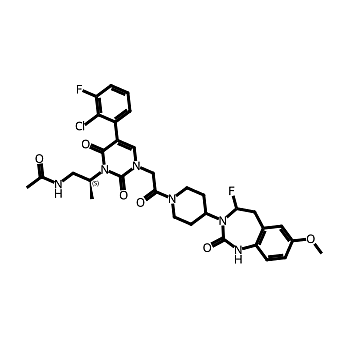 COc1ccc2c(c1)CC(F)N(C1CCN(C(=O)Cn3cc(-c4cccc(F)c4Cl)c(=O)n([C@@H](C)CNC(C)=O)c3=O)CC1)C(=O)N2